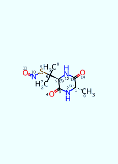 C[C@@H]1NC(=O)[C@@H](C(C)(C)SN=O)NC1=O